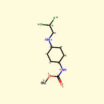 CC(C)(C)OC(=O)NC1CCC(NCC(F)F)CC1